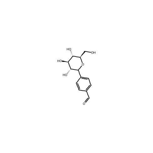 O=Cc1ccc(C2O[C@H](CO)[C@@H](O)[C@H](O)[C@H]2O)cc1